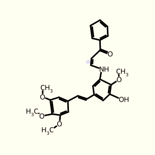 COc1cc(C=Cc2cc(O)c(OC)c(N/C=C\C(=O)c3ccccc3)c2)cc(OC)c1OC